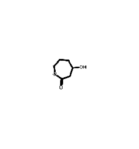 O=C1CC(O)CCC[N]1